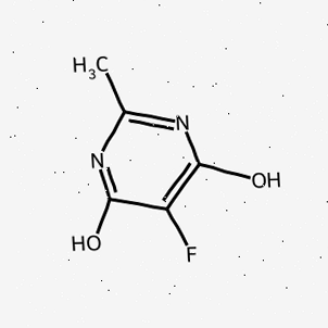 Cc1nc(O)c(F)c(O)n1